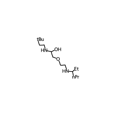 CCCC(CC)NCCOCC(O)NCCC(C)(C)C